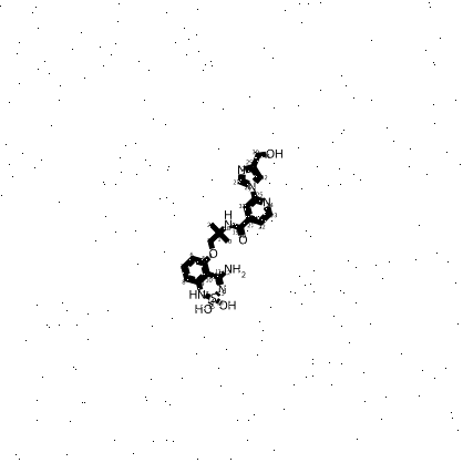 CC(C)(COc1cccc2c1C(N)=NS(O)(O)N2)NC(=O)c1ccnc(-n2cnc(CO)c2)c1